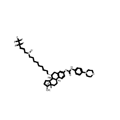 C[C@]12CC[C@@H]3c4ccc(OC(=O)Nc5ccc(N6CCOCC6)cc5)cc4C[C@@H](CCCCCCCCC[S+]([O-])CCCC(F)(F)C(F)(F)F)[C@H]3[C@@H]1CC[C@@H]2O